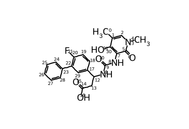 Cc1cn(C)c(=O)c(NC(=O)NC(CC(=O)O)c2ccc(F)c(-c3ccccc3)c2)c1O